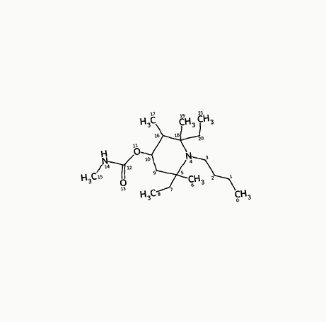 CCCCN1C(C)(CC)CC(OC(=O)NC)C(C)C1(C)CC